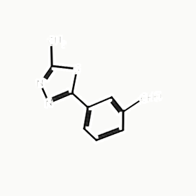 Cc1nnc(-c2cccc(C=O)c2)s1